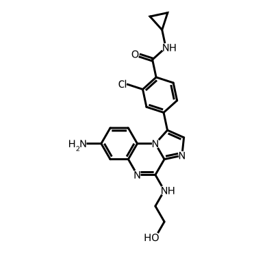 Nc1ccc2c(c1)nc(NCCO)c1ncc(-c3ccc(C(=O)NC4CC4)c(Cl)c3)n12